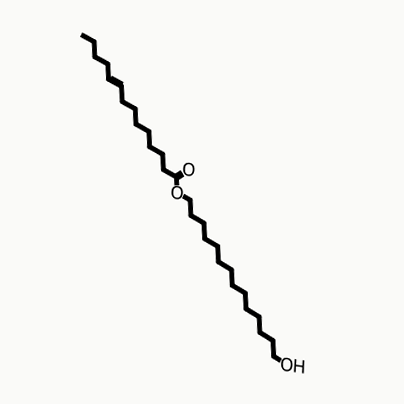 CCCCC=CCCCCCCCC(=O)OCCCCCCCCCCCCCCO